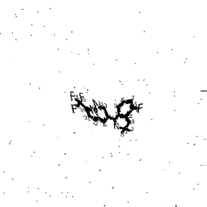 CC1(C)Cc2c(F)cccc2C(c2cnn3c(C(F)(F)F)ccc3c2)=N1